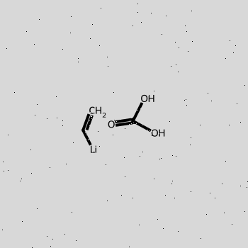 O=C(O)O.[Li][CH]=C